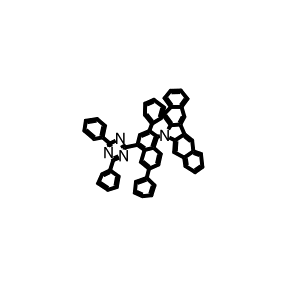 c1ccc(-c2ccc3c(-n4c5cc6ccccc6cc5c5cc6ccccc6cc54)c(-c4ccccc4)cc(-c4nc(-c5ccccc5)nc(-c5ccccc5)n4)c3c2)cc1